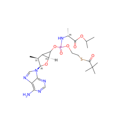 CC(C)OC(=O)[C@@H](C)NP(=O)(OCCSC(=O)C(C)(C)C)OC1C2[C@@H]1O[C@@H](n1cnc3c(N)ncnc31)[C@H]2C